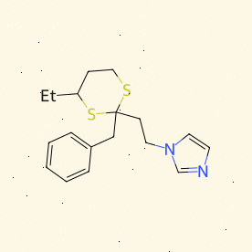 CCC1CCSC(CCn2ccnc2)(Cc2ccccc2)S1